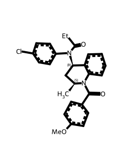 CCC(=O)N(c1ccc(Cl)cc1)[C@@H]1C[C@H](C)N(C(=O)c2ccc(OC)cc2)c2ccccc21